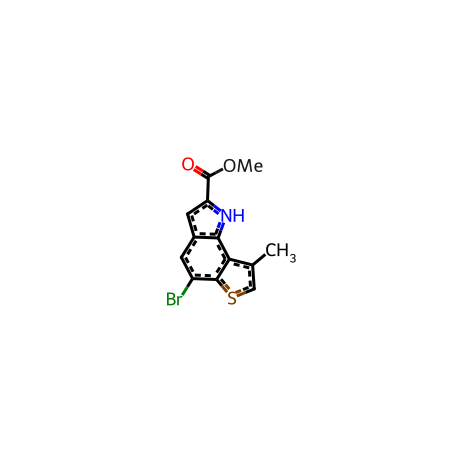 COC(=O)c1cc2cc(Br)c3scc(C)c3c2[nH]1